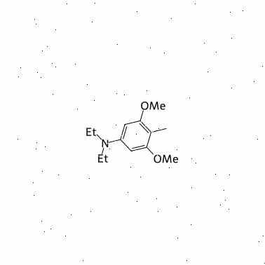 CCN(CC)c1cc(OC)c(C)c(OC)c1